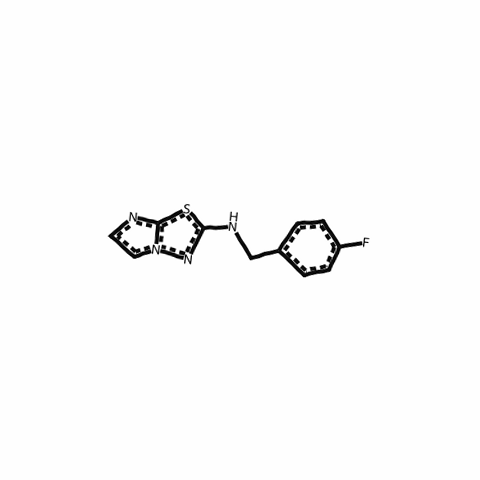 Fc1ccc(CNc2nn3ccnc3s2)cc1